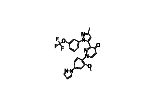 COc1cc(-n2cccn2)ccc1-n1ccc(=O)c(-c2cc(C)nn2-c2cccc(OC(F)(F)F)c2)n1